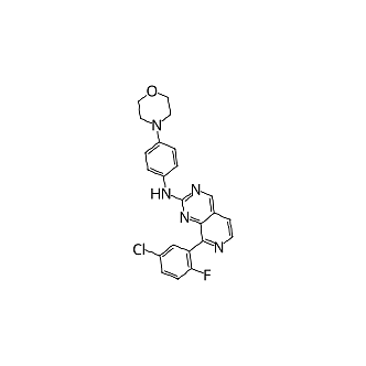 Fc1ccc(Cl)cc1-c1nccc2cnc(Nc3ccc(N4CCOCC4)cc3)nc12